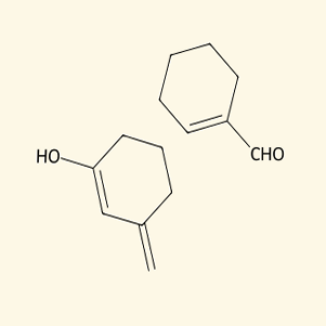 C=C1C=C(O)CCC1.O=CC1=CCCCC1